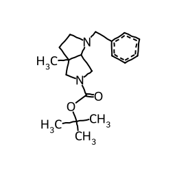 CC(C)(C)OC(=O)N1CC2N(Cc3ccccc3)CCC2(C)C1